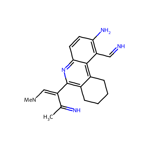 CN/C=C(\C(C)=N)c1nc2ccc(N)c(C=N)c2c2c1CCCC2